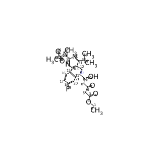 CCOC(=O)CC(=O)C[C@H](O)/C=C/c1c(-c2ccc(F)cc2)nc(N(C)S(C)(=O)=O)nc1C(C)C